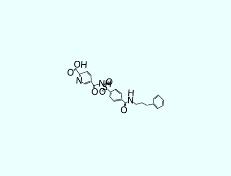 O=C(NCCCc1ccccc1)c1ccc(S(=O)(=O)NC(=O)c2ccc(C(=O)O)nc2)cc1